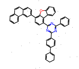 C1=CC(c2ccc(-c3nc(-c4ccccc4)nc(-c4ccc(-c5ccc6ccc7ccccc7c6c5)c5oc6ccccc6c45)n3)cc2)=CCC1